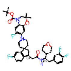 CC(C)(C)OC(=O)N1CC(C)(C)Oc2cc(N3CCC4(CC3)C[C@@H](CC(=O)N[C@H](Cc3ccc(F)c(F)c3)C3CCOCC3)c3ccc(F)cc34)c(F)cc21